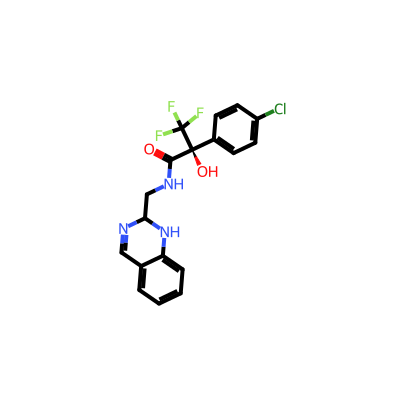 O=C(NCC1N=Cc2ccccc2N1)[C@@](O)(c1ccc(Cl)cc1)C(F)(F)F